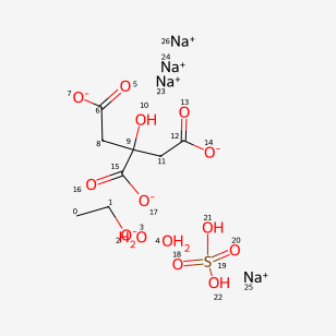 CC[O-].O.O.O=C([O-])CC(O)(CC(=O)[O-])C(=O)[O-].O=S(=O)(O)O.[Na+].[Na+].[Na+].[Na+]